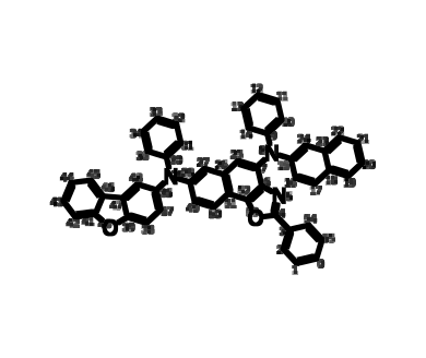 c1ccc(-c2nc3c(N(c4ccccc4)c4ccc5ccccc5c4)cc4cc(N(c5ccccc5)c5ccc6oc7ccccc7c6c5)ccc4c3o2)cc1